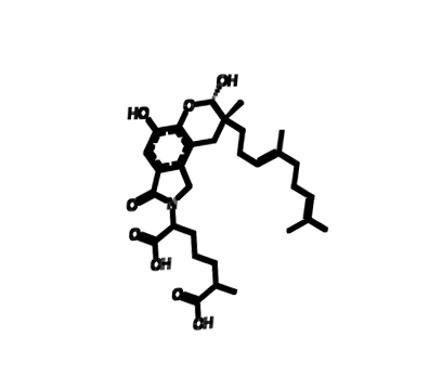 CC(C)=CCC/C(C)=C/CC[C@]1(C)Cc2c3c(cc(O)c2O[C@@H]1O)C(=O)N(C(CCCC(C)C(=O)O)C(=O)O)C3